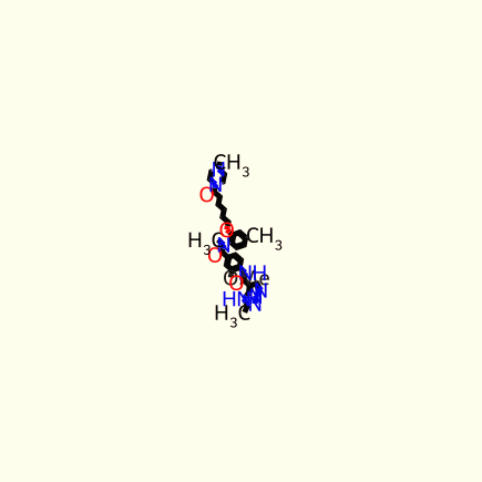 COc1cc(C(=O)N(C)c2ccc(C)cc2OCCCCCC(=O)N2CCN(C)CC2)ccc1NC(=O)c1cnn2nc(C)[nH]c12